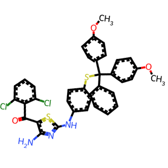 COc1ccc(C(Sc2ccc(Nc3nc(N)c(C(=O)c4c(Cl)cccc4Cl)s3)cc2)(c2ccccc2)c2ccc(OC)cc2)cc1